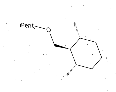 CCCC(C)OC[C@H]1[C@H](C)CCC[C@@H]1C